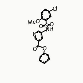 COc1ccc(Cl)cc1S(=O)(=O)Nc1cncc(C(=O)Oc2ccccc2)c1